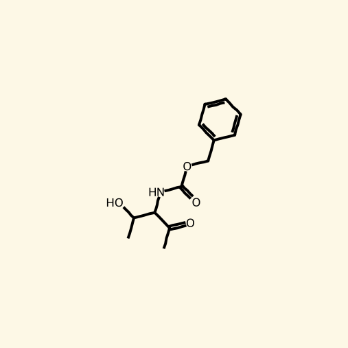 CC(=O)C(NC(=O)OCc1ccccc1)C(C)O